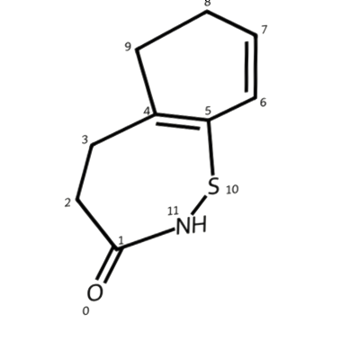 O=C1CCC2=C(C=CCC2)SN1